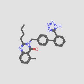 CCCCc1nc2cccc(C)c2c(=O)n1Cc1ccc(-c2ccccc2-c2nnn[nH]2)cc1